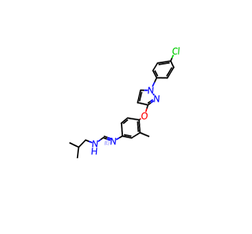 Cc1cc(/N=C/NCC(C)C)ccc1Oc1ccn(-c2ccc(Cl)cc2)n1